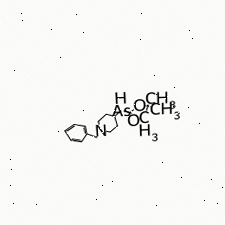 CC(C)(C)OC(=O)[AsH]C1CCN(Cc2ccccc2)CC1